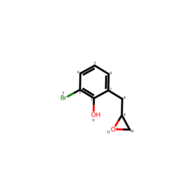 Oc1c(Br)cccc1CC1CO1